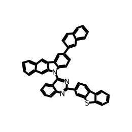 c1ccc2cc(-c3ccc4c(c3)c3cc5ccccc5cc3n4-c3nc(-c4ccc5c(c4)sc4ccccc45)nc4ccccc34)ccc2c1